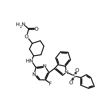 NC(=O)OC1CCCC(Nc2ncc(F)c(-c3cn(S(=O)(=O)c4ccccc4)c4ccccc34)n2)C1